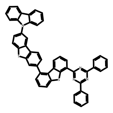 c1ccc(-c2nc(-c3ccccc3)nc(-c3cccc4c3sc3cccc(-c5ccc6c(c5)sc5ccc(-n7c8ccccc8c8ccccc87)cc56)c34)n2)cc1